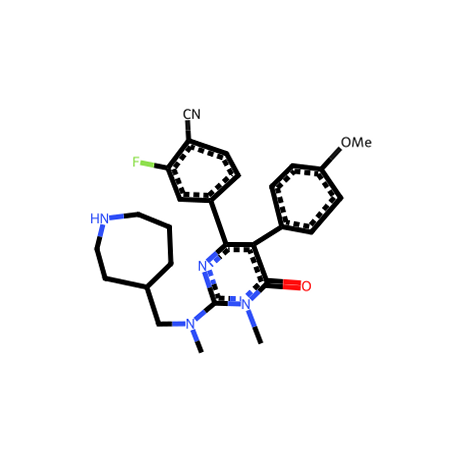 COc1ccc(-c2c(-c3ccc(C#N)c(F)c3)nc(N(C)CC3CCCNCC3)n(C)c2=O)cc1